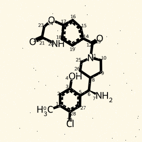 Cc1cc(O)c([C@H](N)C2CCN(C(=O)c3ccc4c(c3)NC(=O)CO4)CC2)cc1Cl